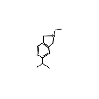 CCN1Cc2ccc(C(C)C)cc2C1